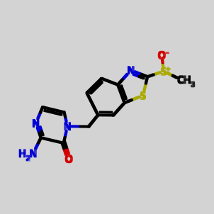 C[S+]([O-])c1nc2ccc(Cn3ccnc(N)c3=O)cc2s1